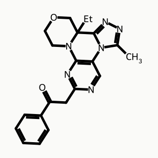 CCC12COCCN1c1nc(CC(=O)c3ccccc3)ncc1-n1c(C)nnc12